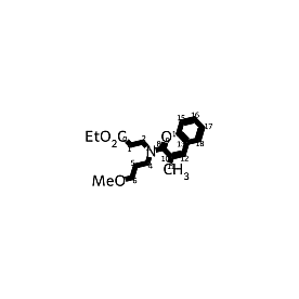 CCOC(=O)CCN(CCCOC)C(=O)C(C)=Cc1ccccc1